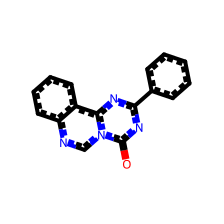 O=c1nc(-c2ccccc2)nc2c3ccccc3ncn12